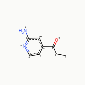 CCC(=O)c1ccnc(N)c1